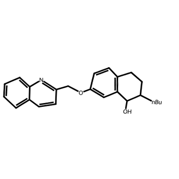 CCCCC1CCc2ccc(OCc3ccc4ccccc4n3)cc2C1O